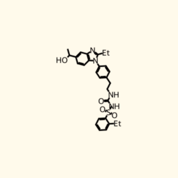 CCc1ccccc1S(=O)(=O)NC(=O)NCCc1ccc(-n2c(CC)nc3cc(C(C)O)ccc32)cc1